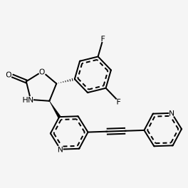 O=C1N[C@H](c2cncc(C#Cc3cccnc3)c2)[C@@H](c2cc(F)cc(F)c2)O1